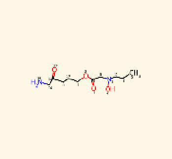 CCCN(O)CC(=O)OCCCC(=O)CN